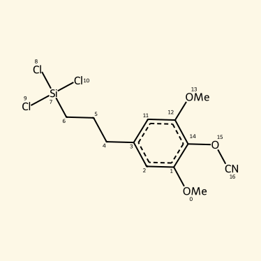 COc1cc(CCC[Si](Cl)(Cl)Cl)cc(OC)c1OC#N